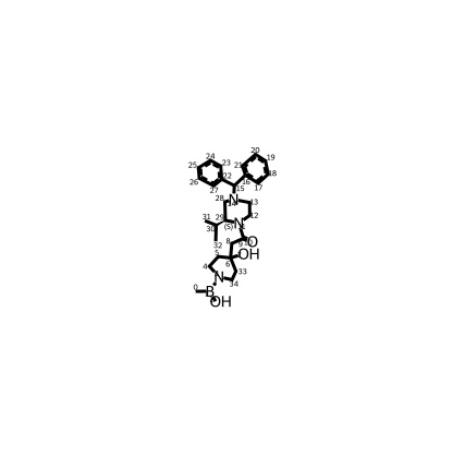 CB(O)N1CCC(O)(CC(=O)N2CCN(C(c3ccccc3)c3ccccc3)C[C@@H]2C(C)C)CC1